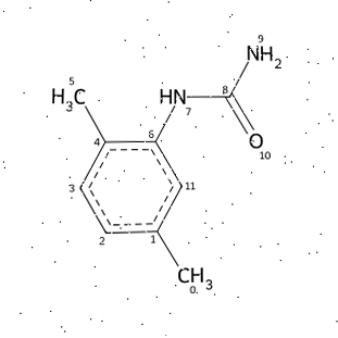 Cc1ccc(C)c(NC(N)=O)c1